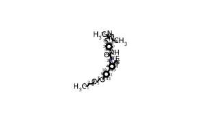 CCCCOCCOc1ccc(-c2ccc(C(F)(F)F)c(/C=C/C(=O)Nc3ccc(Sc4c(C)ncn4CC)cc3)c2)cc1